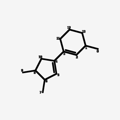 CC1C=C(C2=CC(C)C(C)C2)CCC1